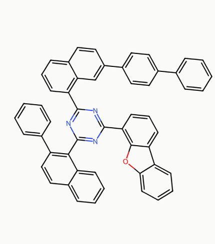 c1ccc(-c2ccc(-c3ccc4cccc(-c5nc(-c6c(-c7ccccc7)ccc7ccccc67)nc(-c6cccc7c6oc6ccccc67)n5)c4c3)cc2)cc1